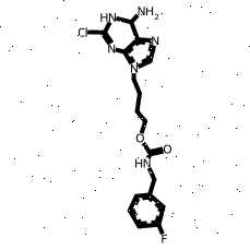 NC1NC(Cl)=Nc2c1ncn2CCCCOC(=O)NCc1cccc(F)c1